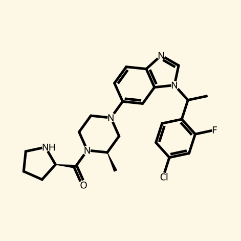 CC(c1ccc(Cl)cc1F)n1cnc2ccc(N3CCN(C(=O)[C@H]4CCCN4)[C@H](C)C3)cc21